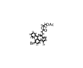 CC(=O)OCC(C)(C)OC(=O)CC[C@@H]1N=C(c2ccccn2)c2cc(Br)ccc2-n2c(C)cnc21